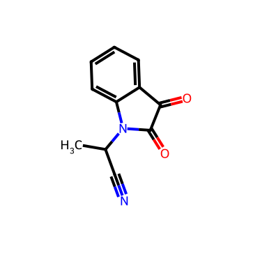 CC(C#N)N1C(=O)C(=O)c2ccccc21